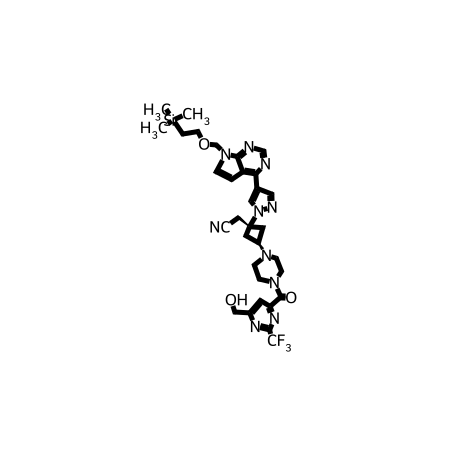 C[Si](C)(C)CCOCn1ccc2c(-c3cnn([C@]4(CC#N)C[C@@H](N5CCN(C(=O)c6cc(CO)nc(C(F)(F)F)n6)CC5)C4)c3)ncnc21